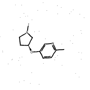 Cc1ccc(O[C@H]2CCN(I)C2)cn1